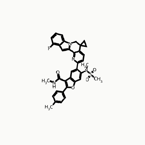 CNC(=O)c1c(-c2ccc(C)cc2)oc2cc(N(C)S(C)(=O)=O)c(-c3ccc4c(n3)-c3cc5c(F)cccc5n3CC43CC3)cc12